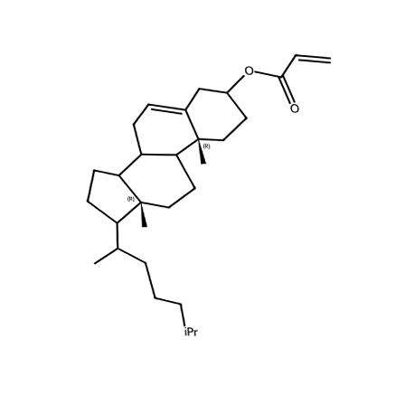 C=CC(=O)OC1CC[C@@]2(C)C(=CCC3C4CCC(C(C)CCCC(C)C)[C@@]4(C)CCC32)C1